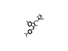 CC1=C(CCc2nnn[nH]2)c2cc(C)ccc2/C1=C\c1ccc(C(C)C)cc1